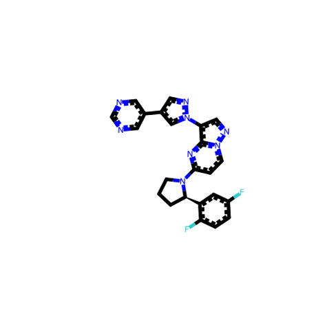 Fc1ccc(F)c([C@H]2CCCN2c2ccn3ncc(-n4cc(-c5cncnc5)cn4)c3n2)c1